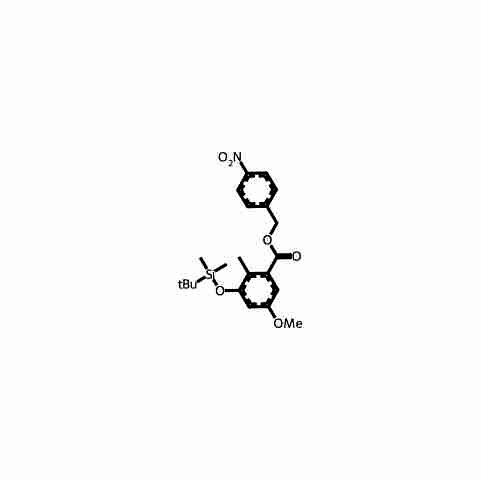 COc1cc(O[Si](C)(C)C(C)(C)C)c(C)c(C(=O)OCc2ccc([N+](=O)[O-])cc2)c1